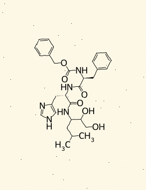 CC(C)CC(NC(=O)[C@H](Cc1c[nH]cn1)NC(=O)[C@H](Cc1ccccc1)NC(=O)OCc1ccccc1)C(O)CO